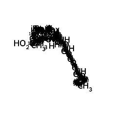 CCCCCCN(C(=O)[C@@H](NC(=O)[C@H]1CCCCN1C)[C@@H](C)CC)[C@H](C[C@@H](OCC)c1nc(C(=O)N[C@@H](Cc2ccc(NCCOCNC(=O)CNC(=O)[C@H](Cc3ccccc3)NC(=O)CNC(=O)CNC(=O)CCOCCOCCOCCOCCNC(=O)CCC(=O)N3Cc4ccccc4/C(C)=C\c4ccccc43)cc2)CC(C)(C)C(=O)O)cs1)C(C)C